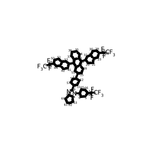 FC(F)(F)C(F)(F)c1ccc(-n2c(-c3ccc(-c4ccc5c(-c6ccc7cc(C(F)(F)C(F)(F)F)ccc7c6)c6ccccc6c(-c6ccc7cc(C(F)(F)C(F)(F)F)ccc7c6)c5c4)cc3)nc3ccccc32)cc1